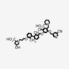 Cc1c(COc2cc(OCc3cncc(C#N)c3)c(CN3CCCC[C@H]3C(=O)O)cc2Cl)cccc1-c1cccc(OCCCN2C[C@@H](O)C[C@H]2C(=O)O)c1C